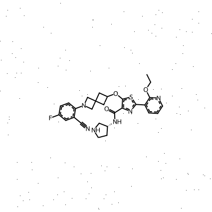 CCOc1ncccc1-c1nc(C(=O)N[C@@H]2CCNC2)c(OC2CC3(C2)CN(c2ccc(F)cc2C#N)C3)s1